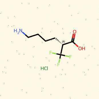 Cl.NCCCC[C@H](C(=O)O)C(F)(F)F